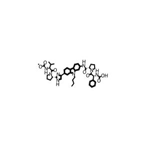 CCCCn1c2cc(NC(=O)[C@@H]3CCCN3C(=O)[C@H](NC(=O)O)c3ccccc3)ccc2c2ccc(-c3c[nH]c([C@@H]4CCCN4C(=O)[C@@H](NC(=O)OC)C(C)C)n3)cc21